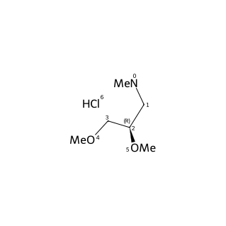 CNC[C@H](COC)OC.Cl